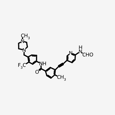 Cc1ccc(C(=O)Nc2ccc(CN3CCN(C)CC3)c(C(F)(F)F)c2)cc1C#Cc1ccc(NC=O)nc1